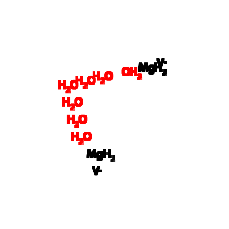 O.O.O.O.O.O.O.[MgH2].[MgH2].[V].[V]